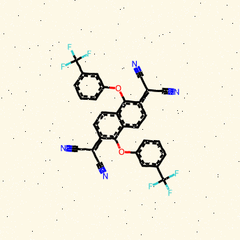 N#CC(C#N)=c1ccc2c(Oc3cccc(C(F)(F)F)c3)c(=C(C#N)C#N)ccc2c1Oc1cccc(C(F)(F)F)c1